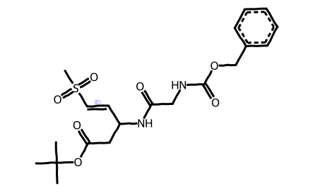 CC(C)(C)OC(=O)CC(/C=C/S(C)(=O)=O)NC(=O)CNC(=O)OCc1ccccc1